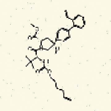 C=CCCCCOC(=O)N[C@H](C(=O)N1C[C@](OC)(c2ccc(-c3ccccc3C=C)cc2)C[C@H]1C(=O)OC)C(C)(C)C